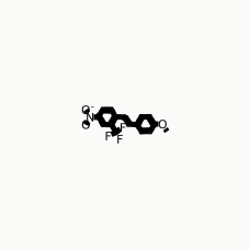 COc1ccc(/C=C/c2ccc([N+](=O)[O-])cc2C(F)(F)F)cc1